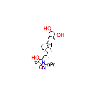 C=C1/C(=C\C=C2/CCC[C@]3(C)[C@@H]([C@H](C)/C=C/[C@H](O)C4(c5nc(CCC)no5)CC4)CC[C@@H]23)C[C@@H](O)C[C@@H]1O